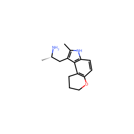 Cc1[nH]c2ccc3c(c2c1C[C@H](C)N)CCCO3